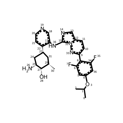 CC(C)Oc1cc(F)c(-c2ccc3cnc(Nc4cnccc4[C@H]4C[C@@H](N)[C@@H](O)[C@@H](C)C4)n3n2)c(F)c1